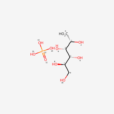 O=C(O)[C@H](O)[C@@H](O)[C@H](O)[C@H](O)CO.O=P(O)(O)O